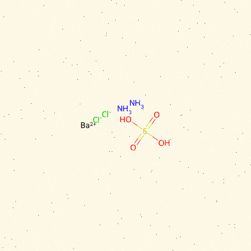 N.N.O=S(=O)(O)O.[Ba+2].[Cl-].[Cl-]